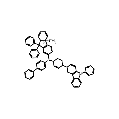 C[C@@]12C=CC=CC1C(c1ccccc1)(c1ccccc1)c1cc(N(c3ccc(-c4ccccc4)cc3)C3C=CC(C4C=Cc5c(c6ccccc6n5-c5ccccc5)C4)CC3)ccc12